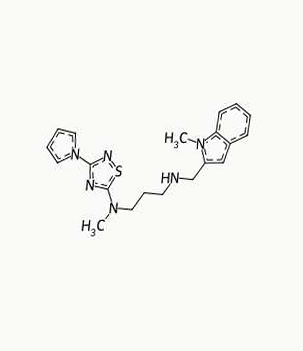 CN(CCCNCc1cc2ccccc2n1C)c1nc(-n2cccc2)ns1